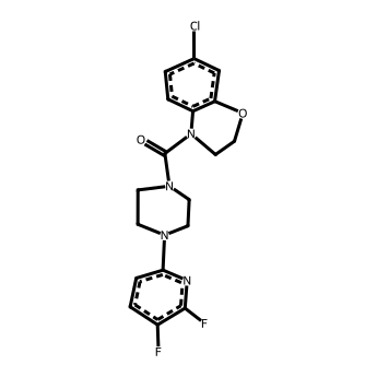 O=C(N1CCN(c2ccc(F)c(F)n2)CC1)N1CCOc2cc(Cl)ccc21